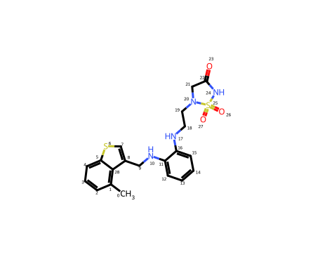 Cc1cccc2scc(CNc3ccccc3NCCN3CC(=O)NS3(=O)=O)c12